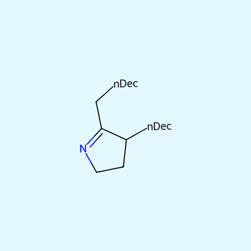 CCCCCCCCCCCC1=NCCC1CCCCCCCCCC